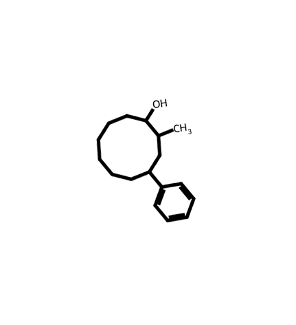 CC1CC(c2ccccc2)CCCCCCC1O